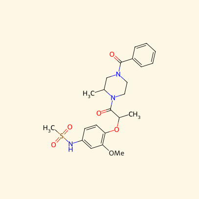 COc1cc(NS(C)(=O)=O)ccc1OC(C)C(=O)N1CCN(C(=O)c2ccccc2)CC1C